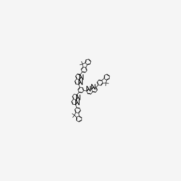 CC1(C)c2ccccc2-c2ccc(-c3ccc4c(n3)=NC(c3cc(-c5ccc6ccc(-c7ccc8c(c7)C(C)(C)c7ccccc7-8)nc6n5)cc(-c5ccc6ccc(-c7ccc8c(c7)C(C)(C)c7ccccc7-8)nc6n5)c3)CC=4)cc21